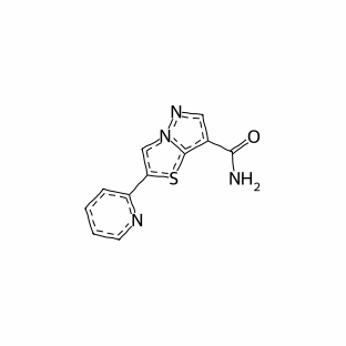 NC(=O)c1cnn2cc(-c3ccccn3)sc12